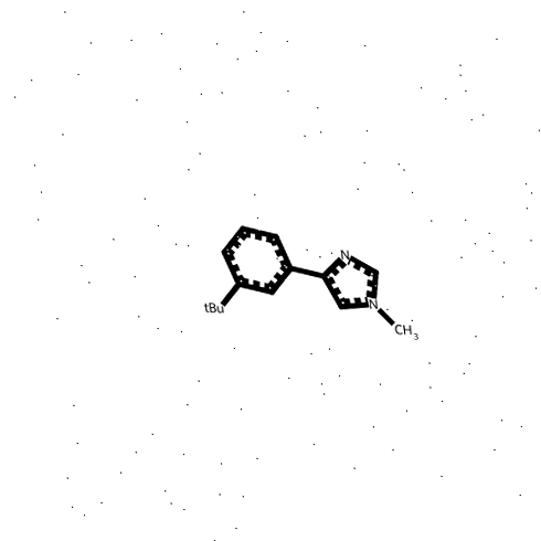 Cn1cnc(-c2cccc(C(C)(C)C)c2)c1